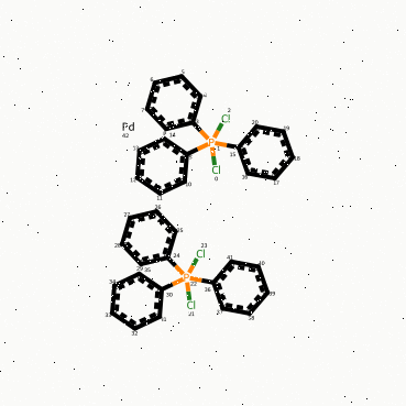 ClP(Cl)(c1ccccc1)(c1ccccc1)c1ccccc1.ClP(Cl)(c1ccccc1)(c1ccccc1)c1ccccc1.[Pd]